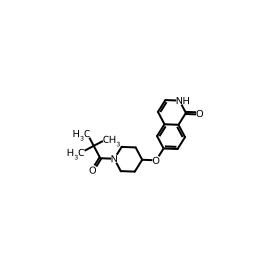 CC(C)(C)C(=O)N1CCC(Oc2ccc3c(=O)[nH]ccc3c2)CC1